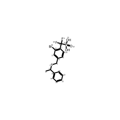 CC(SCc1ccc(C(F)(F)P(=O)(O)O)c(Br)c1)c1ccccc1